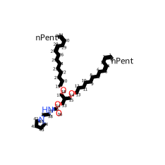 CCCCC/C=C\C/C=C\CCCCCCCCOCC(COCCCCCCCC/C=C\C/C=C\CCCCC)COC(=O)NCCN1CCCC1